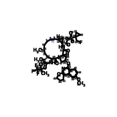 CC[C@@H]1C[C@H](C)CC/C=C\[C@@H]2C[C@@]2(C(=O)NS(=O)(=O)C2(CF)CC2)NC(=O)[C@@H]2C[C@@H](Oc3nc4c(c5cc(OC)ccc35)CCCO4)CN2C(=O)[C@H]1NC(=O)OC(C)(C)C(F)(F)F